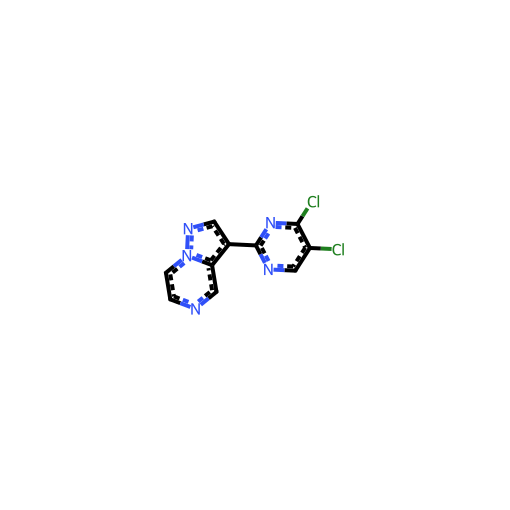 Clc1cnc(-c2cnn3ccncc23)nc1Cl